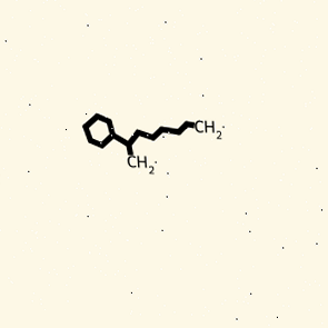 [CH2]CCCCCC([CH2])C1CCCCC1